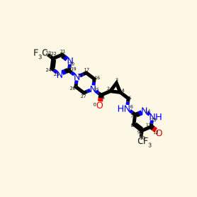 O=C(C1CC1CNc1cc(C(F)(F)F)c(=O)[nH]n1)N1CCN(c2ncc(C(F)(F)F)cn2)CC1